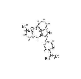 CCN(CC)c1ccc(-c2nc3cccc(Cl)c3n2Cc2ccn(CC)n2)cn1